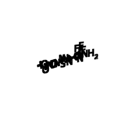 CC(C)(C)OC(=O)N1CCN(c2nn3cc(-c4cnc(N)c(C(F)(F)F)c4)nc3s2)CC1